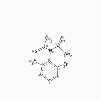 CCc1cccc(C)c1N(C(=N)N)C(N)=S